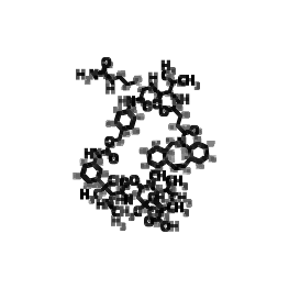 CN[C@H](C(=O)N[C@H](C(=O)N(C)[C@H](/C=C(\C)C(=O)O)C(C)C)C(C)(C)C)C(C)(C)c1cccc(NC(=O)OCc2ccc(NC(=O)[C@H](CCCNC(N)=O)NC(=O)[C@@H](NC(=O)CCC(=O)N3Cc4ccccc4C#Cc4ccccc43)C(C)C)cc2)c1